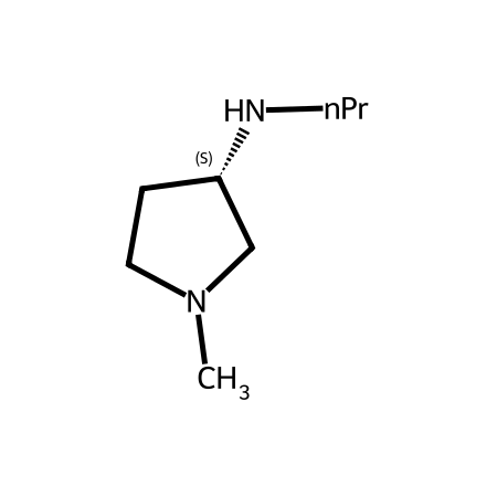 CCCN[C@H]1CCN(C)C1